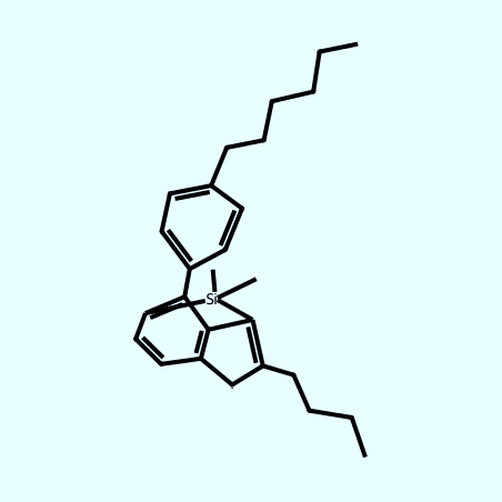 CCCCCCc1ccc(-c2c3ccc4c2C(=C(CCCC)[CH]4)[Si]3(C)C)cc1